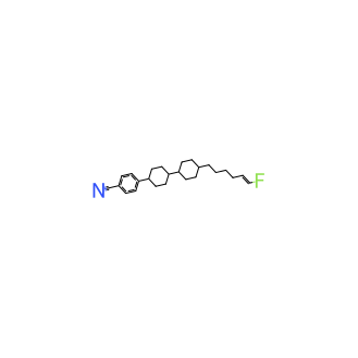 N#Cc1ccc(C2CCC(C3CCC(CCCC/C=C/F)CC3)CC2)cc1